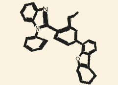 CCc1cc(-c2cccc3c4c(oc23)C=CCC4)ccc1-c1nc2ccccc2n1-c1ccccc1